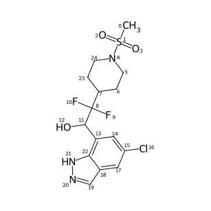 CS(=O)(=O)N1CCC(C(F)(F)C(O)c2cc(Cl)cc3cn[nH]c23)CC1